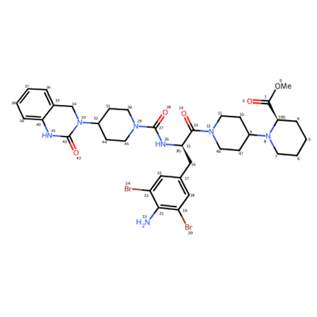 COC(=O)[C@H]1CCCCN1C1CCN(C(=O)[C@@H](Cc2cc(Br)c(N)c(Br)c2)NC(=O)N2CCC(N3Cc4ccccc4NC3=O)CC2)CC1